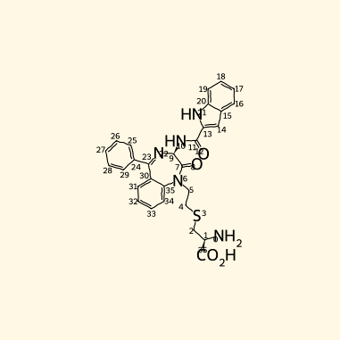 N[C@H](CSCCN1C(=O)[C@H](NC(=O)c2cc3ccccc3[nH]2)N=C(c2ccccc2)c2ccccc21)C(=O)O